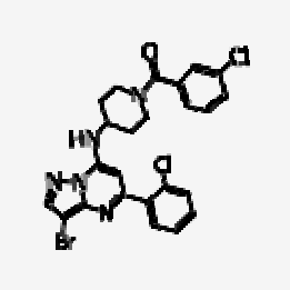 O=C(c1cccc(Cl)c1)N1CCC(Nc2cc(-c3ccccc3Cl)nc3c(Br)cnn23)CC1